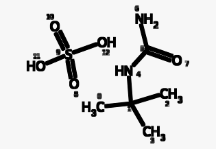 CC(C)(C)NC(N)=O.O=S(=O)(O)O